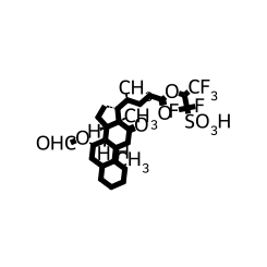 C[C@H](CCC(=O)OC(C(F)(F)F)C(F)(F)S(=O)(=O)O)[C@H]1CC[C@H]2[C@@H]3[C@@H](OC=O)CC4CCCC[C@]4(C)[C@H]3CC(=O)[C@]12C